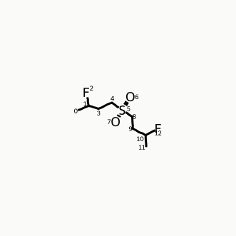 CC(F)CCS(=O)(=O)CCC(C)F